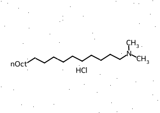 CCCCCCCCCCCCCCCCCCN(C)C.Cl